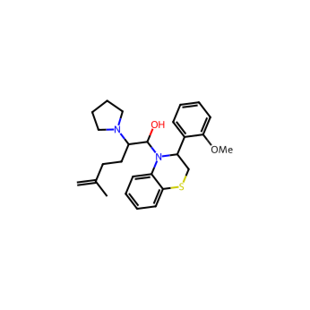 C=C(C)CCC(C(O)N1c2ccccc2SCC1c1ccccc1OC)N1CCCC1